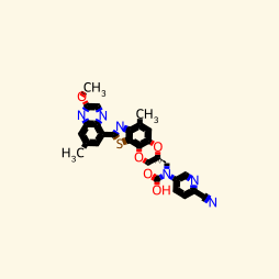 COc1cnc2c(-c3nc4c(C)cc5c(c4s3)OC[C@@H](CN(C(=O)O)c3ccc(C#N)nc3)O5)cc(C)cc2n1